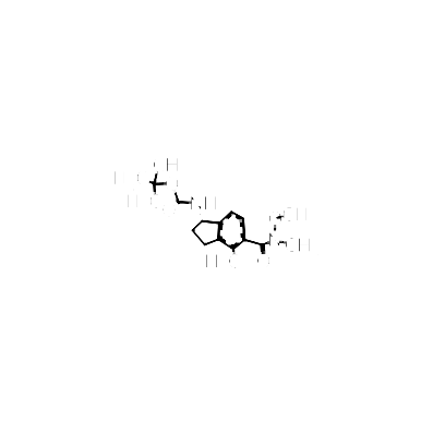 CON(C)C(=O)c1ccc2c(c1C)CC[C@@H]2NC(=O)OC(C)(C)C